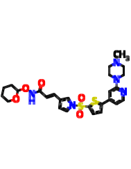 CN1CCN(c2cc(-c3ccc(S(=O)(=O)n4ccc(/C=C/C(=O)NOC5CCCCO5)c4)s3)ccn2)CC1